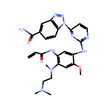 C=CC(=O)Nc1cc(Nc2nccc(-n3nnc4cc(C(N)=O)ccc43)n2)c(OC)cc1N(C)CCN(C)C